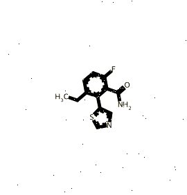 CCc1ccc(F)c(C(N)=O)c1-c1cncs1